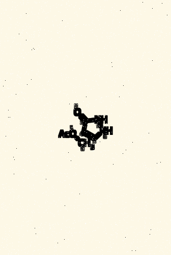 COC(C)=O.O=c1cc[nH][nH]1